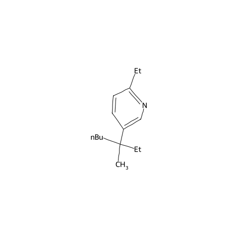 CCCCC(C)(CC)c1ccc(CC)nc1